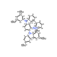 CCC(C)Nc1c(-n2c3ccc(C(C)(C)C)cc3c3cc(C(C)(C)C)ccc32)ccc2c1c1c(-c3ccccc3)cccc1n2-c1cc(C(C)(C)C)cc(C(C)(C)C)c1